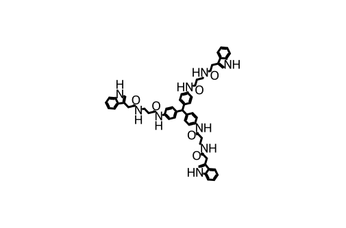 O=C(Cc1c[nH]c2ccccc12)NCCC(=O)Nc1ccc(C(c2ccc(NC(=O)CCNC(=O)Cc3c[nH]c4ccccc34)cc2)c2ccc(NC(=O)CCNC(=O)Cc3c[nH]c4ccccc34)cc2)cc1